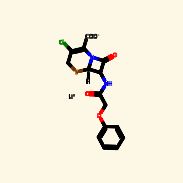 O=C(COc1ccccc1)NC1C(=O)N2C(C(=O)[O-])=C(Cl)CS[C@@H]12.[Li+]